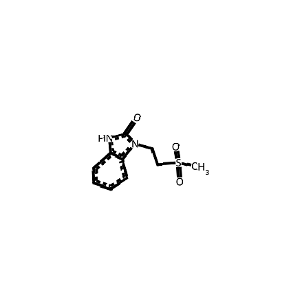 CS(=O)(=O)CCn1c(=O)[nH]c2ccccc21